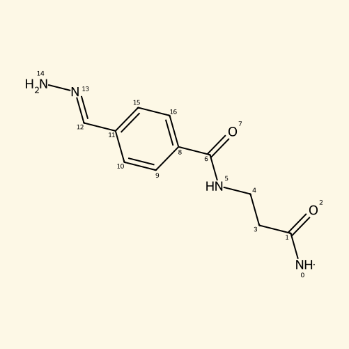 [NH]C(=O)CCNC(=O)c1ccc(C=NN)cc1